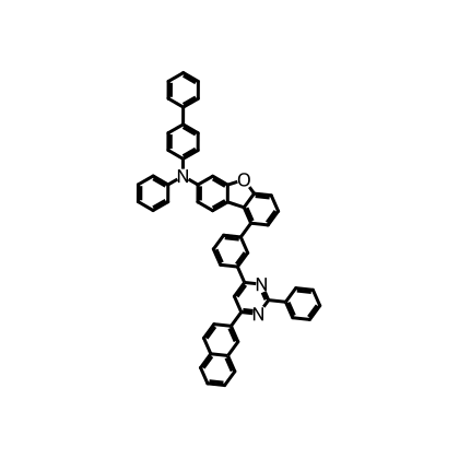 c1ccc(-c2ccc(N(c3ccccc3)c3ccc4c(c3)oc3cccc(-c5cccc(-c6cc(-c7ccc8ccccc8c7)nc(-c7ccccc7)n6)c5)c34)cc2)cc1